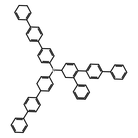 C1=C=CC(C2=C(c3ccc(-c4ccccc4)cc3)C=CC(N(C3=CCC(c4ccc(-c5ccccc5)cc4)C=C3)c3ccc(-c4ccc(C5=CCCC=C5)cc4)cc3)C2)=CC=1